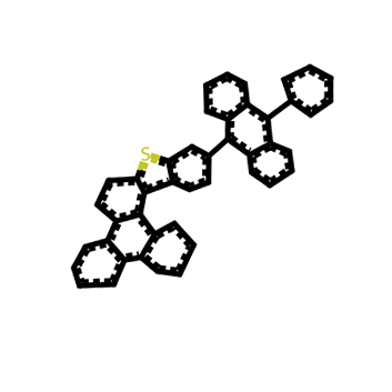 c1ccc(-c2c3ccccc3c(-c3ccc4c(c3)sc3ccc5c6ccccc6c6ccccc6c5c34)c3ccccc23)cc1